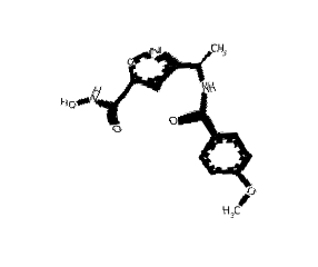 COc1ccc(C(=O)N[C@H](C)c2cc(C(=O)NO)on2)cc1